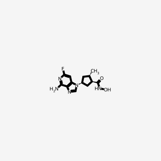 C[C@H]1C[C@@H](n2cnc3c(N)nc(F)cc32)C[C@@H]1C(=O)NO